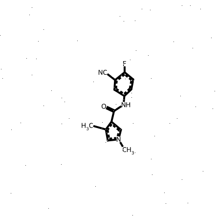 Cc1cn(C)cc1C(=O)Nc1ccc(F)c(C#N)c1